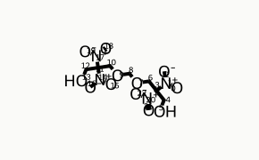 O=[N+]([O-])C(CO)(COCOCC(CO)([N+](=O)[O-])[N+](=O)[O-])[N+](=O)[O-]